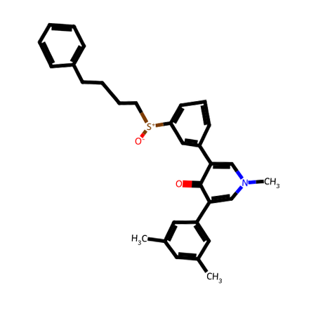 Cc1cc(C)cc(-c2cn(C)cc(-c3cccc([S+]([O-])CCCCc4ccccc4)c3)c2=O)c1